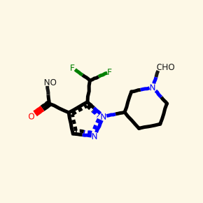 O=CN1CCCC(n2ncc(C(=O)N=O)c2C(F)F)C1